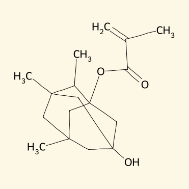 C=C(C)C(=O)OC12CC3(C)CC(O)(CC(C)(C3)C1C)C2